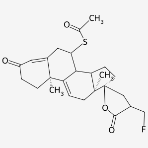 CC(=O)SC1CC2=CC(=O)CC[C@]2(C)C2=CC[C@@]3(C)C(CC[C@@]34CC(CF)C(=O)O4)C21